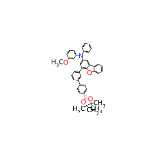 COc1cccc(N(c2ccccc2)c2cc(-c3cccc(-c4ccc(B5OC(C)(C)C(C)(C)O5)cc4)c3)c3oc4ccccc4c3c2)c1